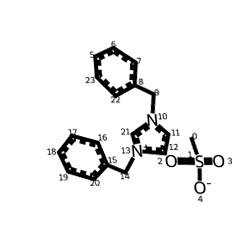 CS(=O)(=O)[O-].c1ccc(Cn2cc[n+](Cc3ccccc3)c2)cc1